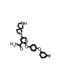 NC(=O)c1cc(N2CCC3(CCNC3)C2)cnc1Oc1ccc(Oc2cccc(F)c2)cc1